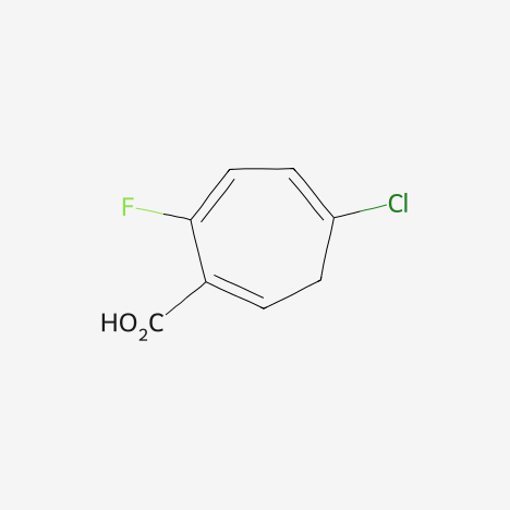 O=C(O)C1=CCC(Cl)=CC=C1F